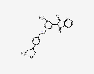 CCN(CC)c1ccc(/C=C/C2=CC(=C3C(=O)c4ccccc4C3=O)C=C(C)O2)cc1